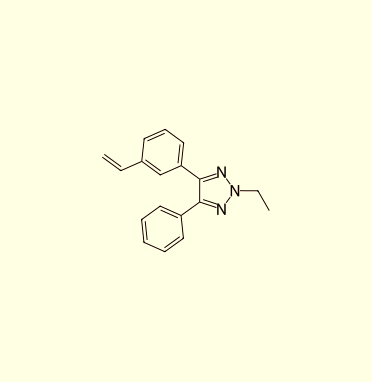 C=Cc1cccc(-c2nn(CC)nc2-c2ccccc2)c1